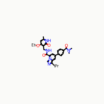 CCOc1cc(C)[nH]c(=O)c1CNC(=O)c1cc(-c2ccc(C(=O)N(C)C)cc2)cc2c(C(C)C)ncn12